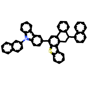 c1ccc2c(c1)-c1cc(-c3ccc4c(c3)c3ccccc3n4-c3ccc4ccccc4c3)c3sc4ccccc4c3c1CC2c1cccc2ccccc12